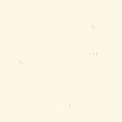 COc1ccc([N+](=O)[O-])cc1OCC(O)CN1CCCC1